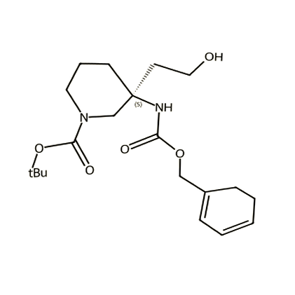 CC(C)(C)OC(=O)N1CCC[C@@](CCO)(NC(=O)OCC2=CC=CCC2)C1